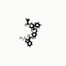 Cn1nc2ccccc2c1C(=O)NC1CCC(CN2C(=O)C3(CCN(C(=O)C4CC4)CC3)c3ccccc32)CC1